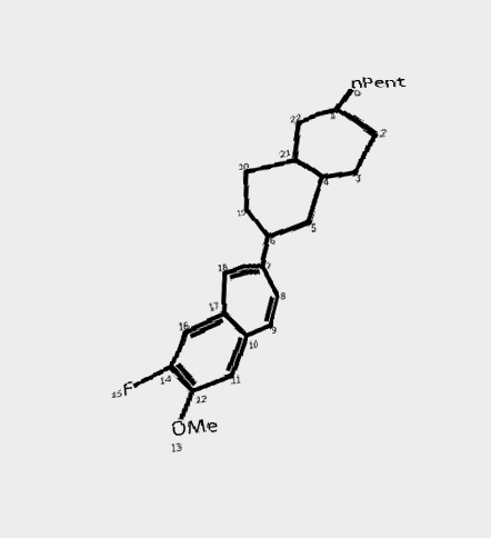 CCCCCC1CCC2CC(c3ccc4cc(OC)c(F)cc4c3)CCC2C1